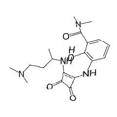 CC(CCN(C)C)Nc1c(Nc2cccc(C(=O)N(C)C)c2O)c(=O)c1=O